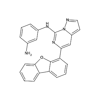 Nc1cccc(Nc2nc(-c3cccc4c3oc3ccccc34)cc3ccnn23)c1